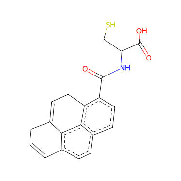 O=C(NC(CS)C(=O)O)c1ccc2ccc3c4c2c1CC=C4CC=C3